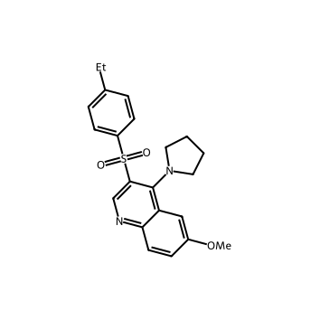 CCc1ccc(S(=O)(=O)c2cnc3ccc(OC)cc3c2N2CCCC2)cc1